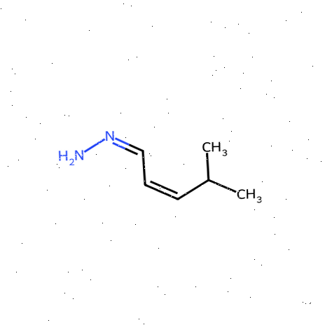 CC(C)/C=C\C=N/N